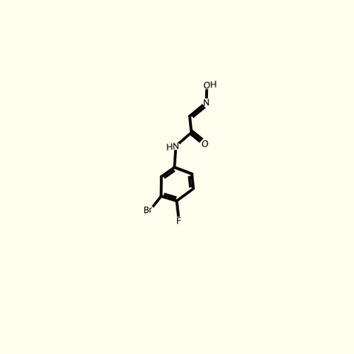 O=C(C=NO)Nc1ccc(F)c(Br)c1